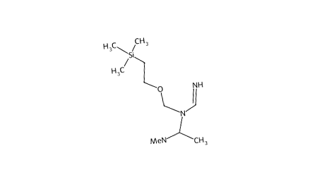 CNC(C)N(C=N)COCC[Si](C)(C)C